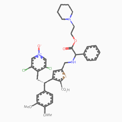 COc1ccc([C@H](Cc2c(Cl)c[n+]([O-])cc2Cl)c2cc(CNC(C(=O)OCCN3CCCCC3)c3ccccc3)sc2C(=O)O)cc1OC